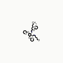 CCCCCC(/C=C/[C@@H]1[C@@H](C/C=C\CCC=O)[C@@H](OC2CCCCO2)C[C@H]1OC1CCCCO1)O[C@H]1CCCCO1